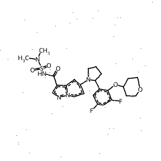 CN(C)S(=O)(=O)NC(=O)c1cnn2ccc(N3CCCC3c3cc(F)cc(F)c3OC3CCOCC3)cc12